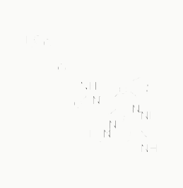 COCCOCCNC(=O)N1CC(=O)c2c(N(N)c3ccccc3)c(C3=CCNC=C3)n(N)c2C1